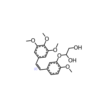 COc1ccc(/C=C\c2cc(OC)c(OC)c(OC)c2)cc1OC(O)CO